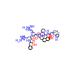 CN(CC(=O)N[C@H](CC(=O)O)C(=O)N1CCCC[C@H]1C(=O)N[C@@H](Cc1ccc2ccccc2c1)C(=O)N[C@@H](CCCNC(=N)N)C(=O)N[C@@H](CCCNC(=N)N)C(=O)N[C@H](Cc1ccccc1)C(=O)O)C(=O)[C@@H]1CCCN1